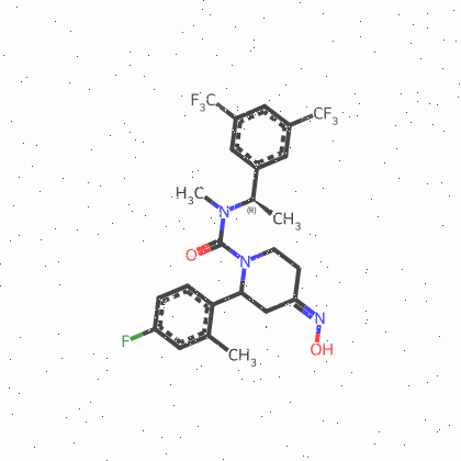 Cc1cc(F)ccc1C1CC(=NO)CCN1C(=O)N(C)[C@H](C)c1cc(C(F)(F)F)cc(C(F)(F)F)c1